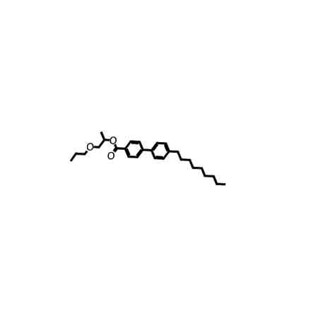 CCCCCCCCCc1ccc(-c2ccc(C(=O)OC(C)COCCC)cc2)cc1